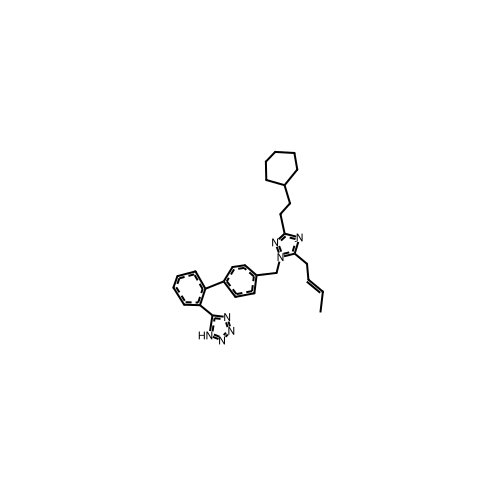 C/C=C/Cc1nc(CCC2CCCCC2)nn1Cc1ccc(-c2ccccc2-c2nnn[nH]2)cc1